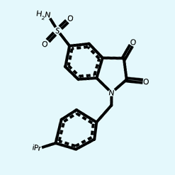 CC(C)c1ccc(CN2C(=O)C(=O)c3cc(S(N)(=O)=O)ccc32)cc1